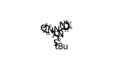 CC(C)(C)SCc1cc(N2CCOCC2)nc(-c2ccccn2)n1